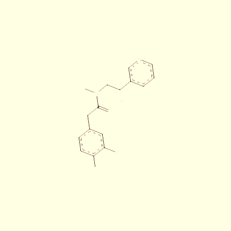 CCCN(C[C@@H](O)c1cccnc1)C(=O)Cc1ccc(C(F)(F)F)c(F)c1